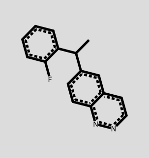 CC(c1ccc2nnccc2c1)c1ccccc1F